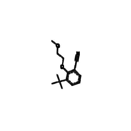 COCCOc1c(C#N)cccc1C(C)(C)C